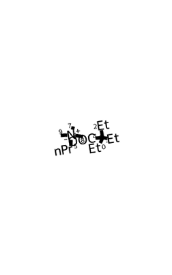 CCC(CC)(CC)C(=O)[O-].CCC[N+](C)(C)C